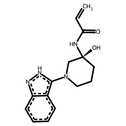 C=CC(=O)N[C@]1(O)CCCN(c2[nH]nc3ccccc23)C1